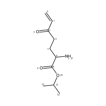 C=CC(=O)CCC(N)C(=O)OC(C)C